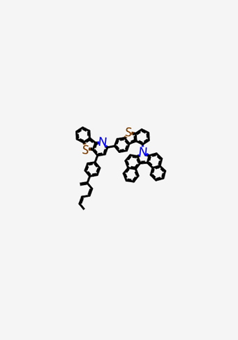 C=C(/C=C\C=C/C)c1ccc(-c2cc(-c3ccc4c(c3)sc3cccc(-n5c6ccc7ccccc7c6c6c7ccccc7ccc65)c34)nc3c2sc2ccccc23)cc1